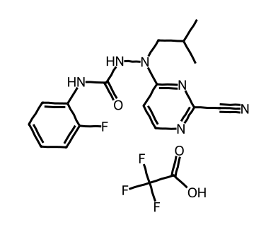 CC(C)CN(NC(=O)Nc1ccccc1F)c1ccnc(C#N)n1.O=C(O)C(F)(F)F